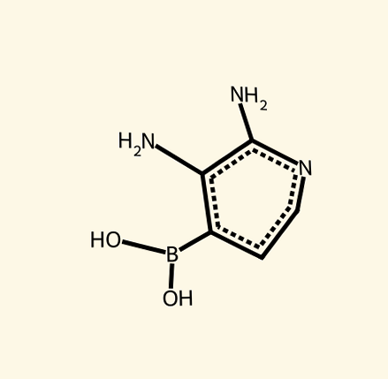 Nc1nccc(B(O)O)c1N